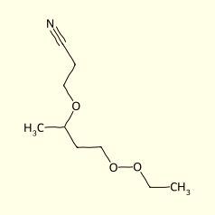 CCOOCCC(C)OCCC#N